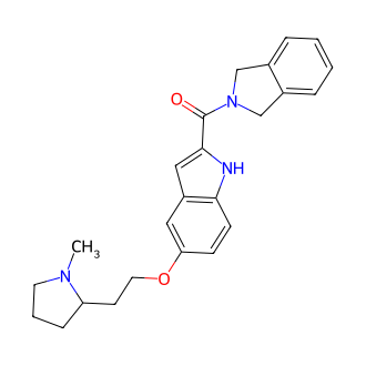 CN1CCCC1CCOc1ccc2[nH]c(C(=O)N3Cc4ccccc4C3)cc2c1